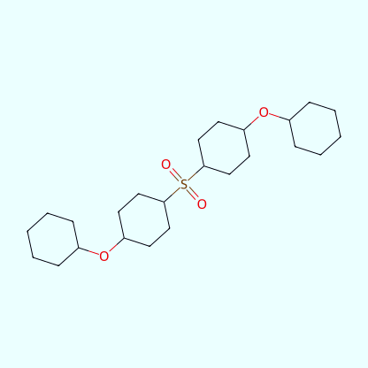 O=S(=O)(C1CCC(OC2CCCCC2)CC1)C1CCC(OC2CCCCC2)CC1